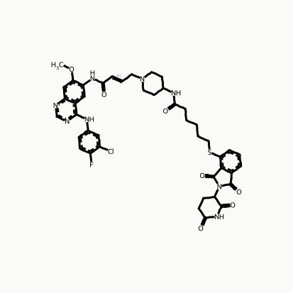 COc1cc2ncnc(Nc3ccc(F)c(Cl)c3)c2cc1NC(=O)/C=C/CN1CCC(NC(=O)CCCCCSc2cccc3c2C(=O)N(C2CCC(=O)NC2=O)C3=O)CC1